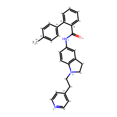 O=C(Nc1ccc2c(c1)CCN2CCc1ccncc1)c1ccccc1-c1ccc(C(F)(F)F)cc1